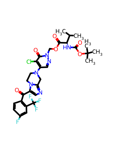 CC(C)[C@H](NC(=O)OC(C)(C)C)C(=O)OCn1ncc(N2CCn3c(C(=O)c4ccc(F)cc4C(F)(F)F)cnc3C2)c(Cl)c1=O